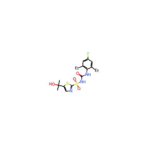 CCc1cc(F)cc(CC)c1NC(=O)NS(=O)(=O)c1ncc(C(C)(C)O)s1